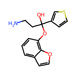 NCCC(O)(Oc1cccc2ccoc12)c1ccsc1